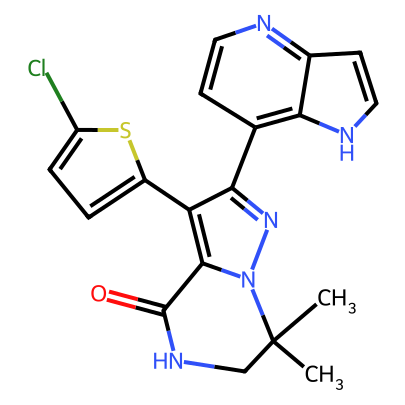 CC1(C)CNC(=O)c2c(-c3ccc(Cl)s3)c(-c3ccnc4cc[nH]c34)nn21